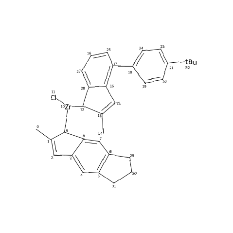 CC1=Cc2cc3c(cc2[CH]1[Zr]([Cl])[CH]1C(C)=Cc2c(-c4ccc(C(C)(C)C)cc4)cccc21)CCC3